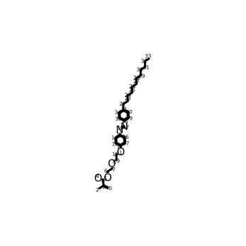 C=C(C)C(=O)OCCOCCOc1ccc(N=Nc2ccc(CCCCCCCCCCCC)cc2)cc1